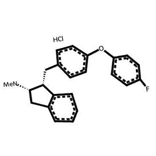 CN[C@H]1Cc2ccccc2[C@H]1Cc1ccc(Oc2ccc(F)cc2)cc1.Cl